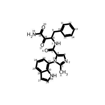 Cc1ncc(C(=O)NC(Cc2ccccc2)C(=O)C(N)=O)n1-c1cccc2cc[nH]c12